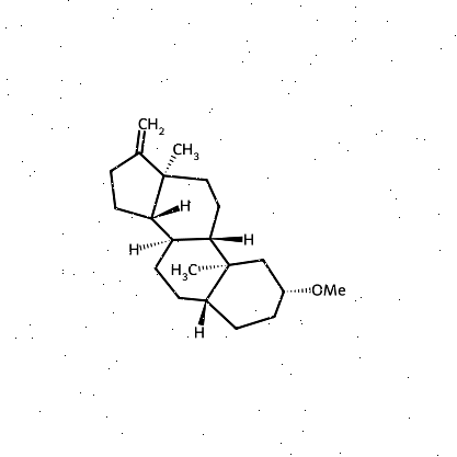 C=C1CC[C@H]2[C@@H]3CC[C@H]4CC[C@@H](OC)C[C@]4(C)[C@H]3CC[C@]12C